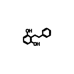 Oc1cccc(O)c1CCc1ccccc1